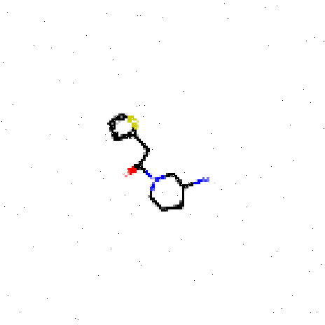 NC1CCCN(C(=O)Cc2cccs2)C1